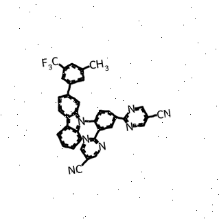 Cc1cc(-c2ccc3c4ccccc4n(-c4ccc(-c5ncc(C#N)cn5)cc4-c4ncc(C#N)cn4)c3c2)cc(C(F)(F)F)c1